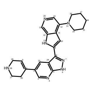 C1=C(c2cnc3[nH]nc(-c4cc5c(N6CCCCC6)cncc5[nH]4)c3c2)CCNC1